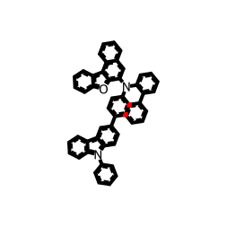 c1ccc(-c2ccccc2N(c2ccc(-c3ccc4c(c3)c3ccccc3n4-c3ccccc3)cc2)c2cc3ccccc3c3c2oc2ccccc23)cc1